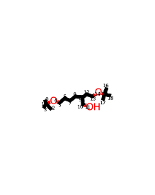 CC(C)(C)OCCCCC(CO)CCOC(C)(C)C